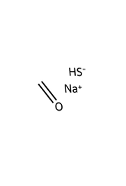 C=O.[Na+].[SH-]